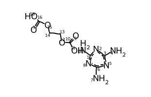 Nc1nc(N)nc(N)n1.O=C(O)OCCOC(=O)O